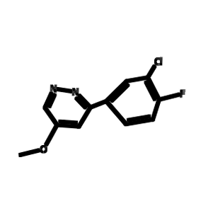 COc1cnnc(-c2ccc(F)c(Cl)c2)c1